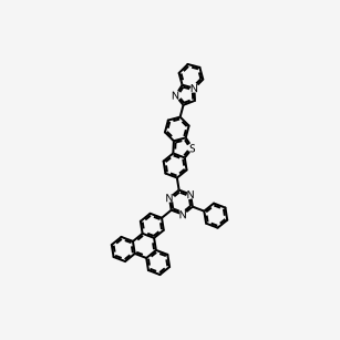 c1ccc(-c2nc(-c3ccc4c(c3)sc3cc(-c5cn6ccccc6n5)ccc34)nc(-c3ccc4c5ccccc5c5ccccc5c4c3)n2)cc1